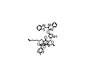 C=CCCCCC[C@H](NC(=O)c1cnc(C)nc1)C(=O)N(C(=O)[C@@H]1C[C@@H](Oc2nc3ccccc3nc2-c2nc3ccccc3s2)CN1)C1(C(=O)O)CC1C=C